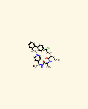 Cc1ccccc1-c1ccc(CCC[C@H](CC(=O)O)C(=O)N[C@H](C(=O)N[C@H](C)c2ccncc2)C(C)(C)C)cc1.Cl